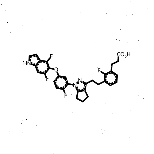 O=C(O)CCc1cccc(CCc2nn(-c3cc(Oc4c(F)cc5[nH]ccc5c4F)ccc3F)c3c2CCC3)c1F